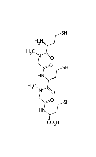 CN(CC(=O)N[C@@H](CCS)C(=O)O)C(=O)[C@H](CCS)NC(=O)CN(C)C(=O)[C@@H](N)CCS